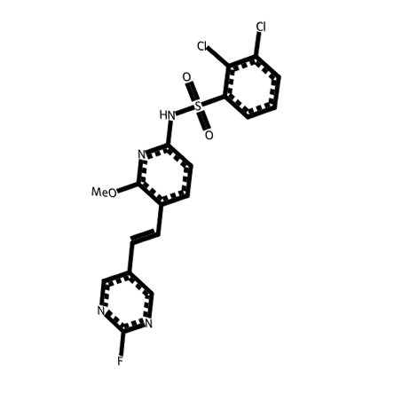 COc1nc(NS(=O)(=O)c2cccc(Cl)c2Cl)ccc1/C=C/c1cnc(F)nc1